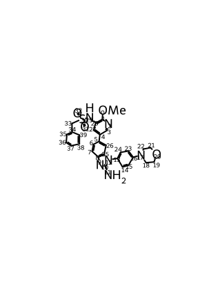 COc1ncc(-c2ccc3nc(N)n(-c4ccc(N5CCOCC5)cc4)c3c2)cc1NS(=O)(=O)Cc1ccccc1